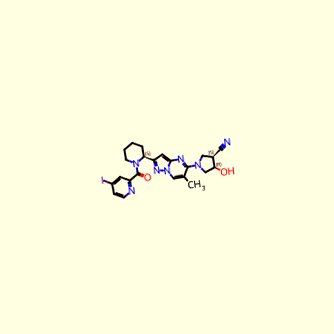 Cc1cn2nc([C@@H]3CCCCN3C(=O)c3cc(I)ccn3)cc2nc1N1C[C@@H](C#N)[C@@H](O)C1